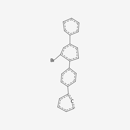 Brc1cc(-c2ccccc2)ccc1-c1ccc(-c2ccccc2)cc1